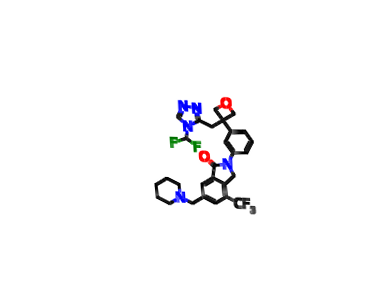 O=C1c2cc(CN3CCCCC3)cc(C(F)(F)F)c2CN1c1cccc(C2(Cc3nncn3C(F)F)COC2)c1